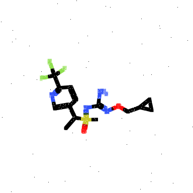 CC(c1ccc(C(F)(F)F)nc1)S(C)(=O)=N/C(N)=N/OCC1CC1